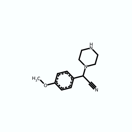 COc1ccc(C(C#N)N2CCNCC2)cc1